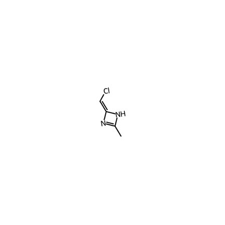 CC1=NC(=CCl)N1